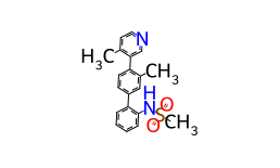 Cc1cc(-c2ccccc2NS(C)(=O)=O)ccc1-c1cnccc1C